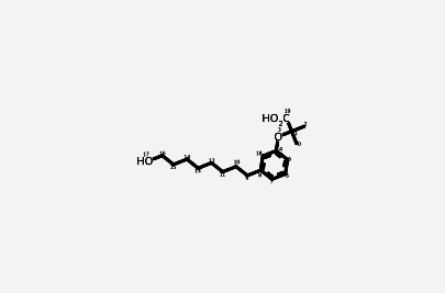 CC(C)(Oc1cccc(CCCCCCCCO)c1)C(=O)O